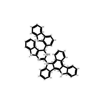 c1ccc2c3c(oc2c1)N=C(n1c2ccccc2c2c4sc5ccccc5c4c4ccccc4c21)NC3c1cccc2c1sc1ccccc12